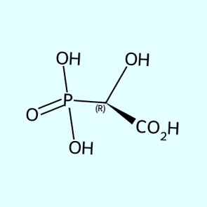 O=C(O)[C@H](O)P(=O)(O)O